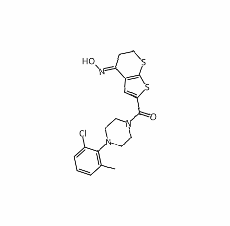 Cc1cccc(Cl)c1N1CCN(C(=O)c2cc3c(s2)SCCC3=NO)CC1